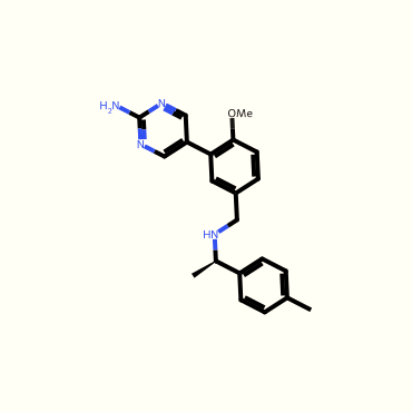 COc1ccc(CN[C@H](C)c2ccc(C)cc2)cc1-c1cnc(N)nc1